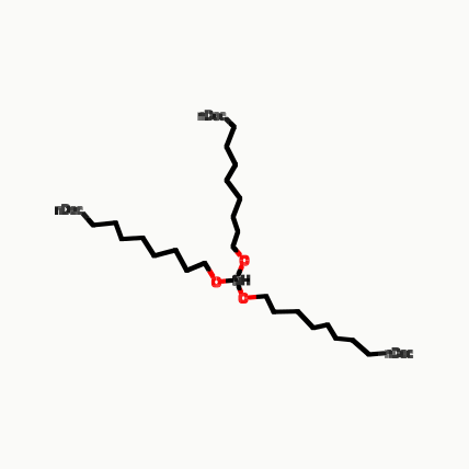 CCCCCCCCCCCCCCCCCCO[SiH](OCCCCCCCCCCCCCCCCCC)OCCCCCCCCCCCCCCCCCC